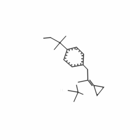 CCC(F)(F)c1ccc(CC(OC(C)(C)C)=C2CC2)cc1